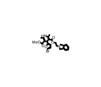 COC(=O)C1=C(C)NC(C)=C(C(=O)OCCN2Cc3ccccc3C2)C1c1ccc(Br)o1